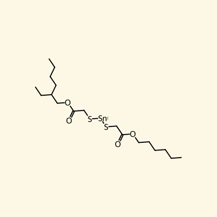 CCCCCCOC(=O)C[S][Sn][S]CC(=O)OCC(CC)CCCC